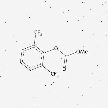 COC(=O)Oc1c(C(F)(F)F)cccc1C(F)(F)F